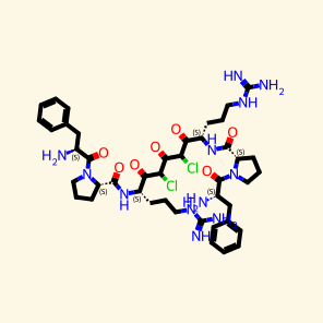 N=C(N)NCCC[C@H](NC(=O)[C@@H]1CCCN1C(=O)[C@@H](N)Cc1ccccc1)C(=O)C(Cl)C(=O)C(Cl)C(=O)[C@H](CCCNC(=N)N)NC(=O)[C@@H]1CCCN1C(=O)[C@@H](N)Cc1ccccc1